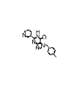 Cc1ccc(Cn2cnc3nc(-c4cccnc4)[nH]c(=O)c32)cc1